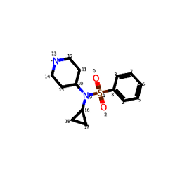 O=S(=O)(c1ccccc1)N(C1CC[N]CC1)C1CC1